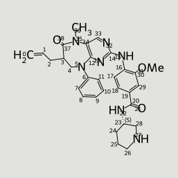 C=CCC1CN(c2ccccc2)c2nc(Nc3ccc(C(=O)N[C@H]4CCCNC4)cc3OC)ncc2N(C)C1=O